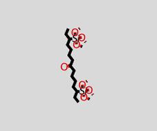 CCC(CCCCC(=O)CCCCC(CC)[Si](OC)(OC)OC)[Si](OC)(OC)OC